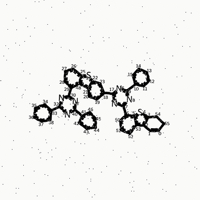 C1=Cc2c(sc3c(-c4nc(-c5ccccc5)nc(-c5ccc6c(c5)sc5cccc(-c7nc(-c8ccccc8)nc(-c8ccccc8)n7)c56)n4)cccc23)CC1